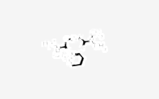 CN(C)C(=S)[S][Zn][S]C(=S)N(C)C.c1ccnnc1